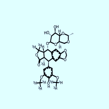 [2H]C([2H])([2H])Oc1cc([C@@H]2c3cc4c(cc3[C@@H](O[C@@H]3O[C@@H]5CO[C@@H](C)O[C@H]5[C@H](O)[C@H]3O)[C@H]3C([2H])([2H])OC(=O)[C@]23[2H])OCO4)cc(OC([2H])([2H])[2H])c1O